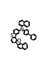 c1ccc(-c2ccc(N(c3ccc4sc5ccc6c7ccc8ccccc8c7oc6c5c4c3)c3cccc4ccccc34)cc2)cc1